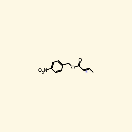 C/C=C/C(=O)OCc1ccc([N+](=O)[O-])cc1